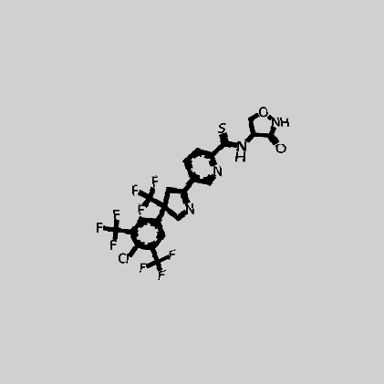 O=C1NOCC1NC(=S)c1ccc(C2=NCC(c3cc(C(F)(F)F)c(Cl)c(C(F)(F)F)c3)(C(F)(F)F)C2)cn1